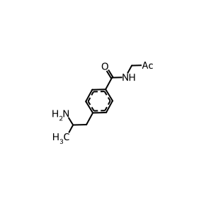 CC(=O)CNC(=O)c1ccc(CC(C)N)cc1